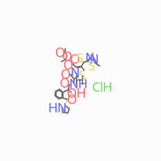 CC(=O)OC(C)OC(=O)C1=C(C(=S)c2nnc(C)s2)CS[C@H]2C(NC(=O)C(O)c3ccccc3C(=O)[C@@H]3CCCN3)C(=O)N12.Cl